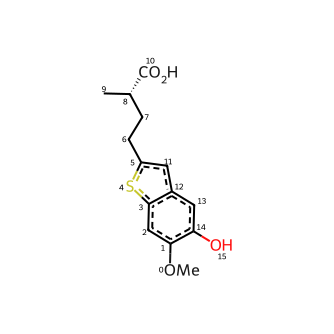 COc1cc2sc(CC[C@H](C)C(=O)O)cc2cc1O